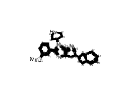 COc1cccc(-c2nc3cc(-c4ccc5ccccc5c4)cnc3n2C2CCNCC2)c1